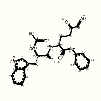 CCC(=O)N[C@@H](Cc1c[nH]c2ccccc12)C(=O)N[C@@H](CCC(=O)C=N)C(=O)Nc1ccccc1